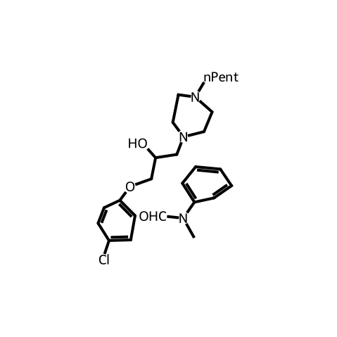 CCCCCN1CCN(CC(O)COc2ccc(Cl)cc2)CC1.CN(C=O)c1ccccc1